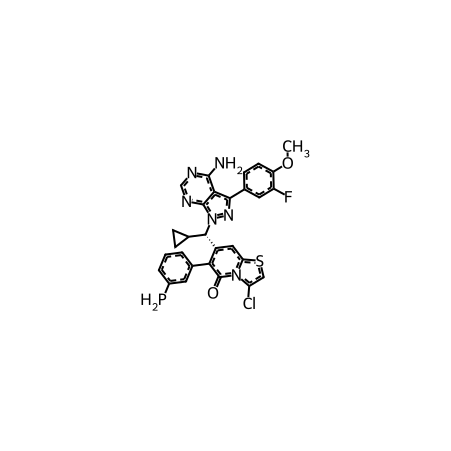 COc1ccc(-c2nn([C@H](c3cc4scc(Cl)n4c(=O)c3-c3cccc(P)c3)C3CC3)c3ncnc(N)c23)cc1F